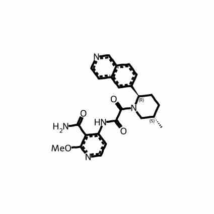 COc1nccc(NC(=O)C(=O)N2C[C@@H](C)CC[C@@H]2c2ccc3cnccc3c2)c1C(N)=O